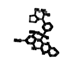 COc1cc(Nc2nc3ccccc3nc2NS(=O)(=O)c2cccc(C(C(N)=O)N3CCCC3C)c2)cc(OC)c1